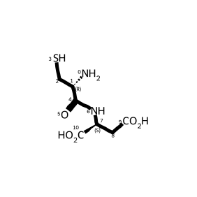 N[C@@H](CS)C(=O)N[C@@H](CC(=O)O)C(=O)O